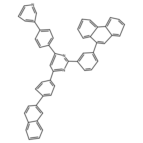 c1cncc(-c2ccc(-c3cc(-c4ccc(-c5ccc6ccccc6c5)cc4)nc(-c4cccc(-c5cc6ccccc6c6ccccc56)c4)n3)cc2)c1